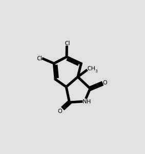 CC12C=C(Cl)C(Cl)=CC1C(=O)NC2=O